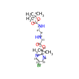 CC(C)(C)OC(=O)NCCNCC(=O)OC(C)(C)c1ncc(Br)cn1